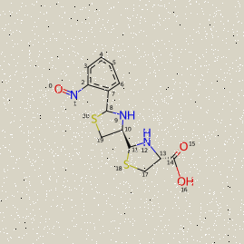 O=Nc1ccccc1C1N[C@@H](C2N[C@H](C(=O)O)CS2)CS1